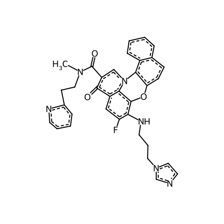 CN(CCc1ccccn1)C(=O)c1cn2c3c(c(NCCCn4ccnc4)c(F)cc3c1=O)Oc1ccc3ccccc3c1-2